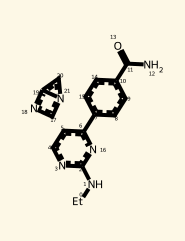 CCNc1nccc(-c2ccc(C(N)=O)cc2)n1.c1nc2cn1-2